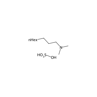 CCCCCCCCCN(C)C.O=S(=O)(O)O